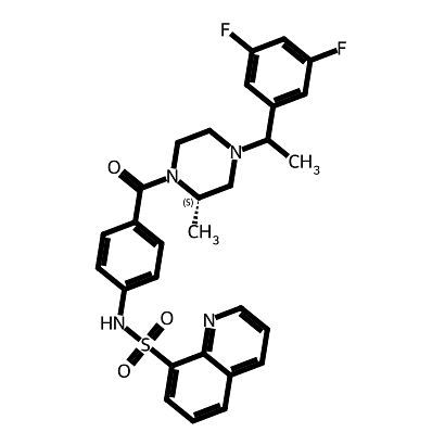 CC(c1cc(F)cc(F)c1)N1CCN(C(=O)c2ccc(NS(=O)(=O)c3cccc4cccnc34)cc2)[C@@H](C)C1